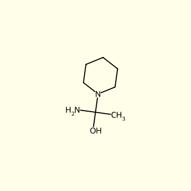 CC(N)(O)N1CCCCC1